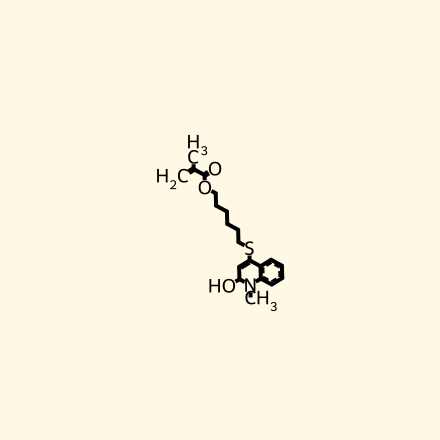 C=C(C)C(=O)OCCCCCCSC1=CC(O)N(C)c2ccccc21